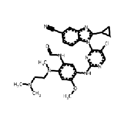 COc1cc(N(C)CCN(C)C)c(NC=O)cc1Nc1ncc(Cl)c(-n2c(C3CC3)nc3cc(C#N)ccc32)n1